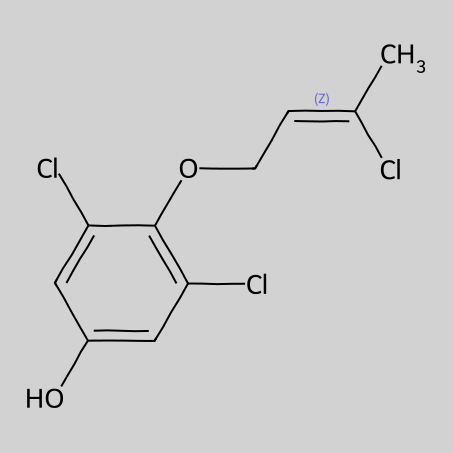 C/C(Cl)=C/COc1c(Cl)cc(O)cc1Cl